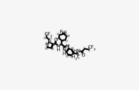 C[C@H](NC(=O)CCC(F)(F)F)c1ccc2[nH]c([C@@H](NC(=O)c3ccnn3CCC(F)(F)F)C3CCC(F)(F)CC3)nc2c1